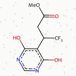 COC(=O)CC(c1c(O)ncnc1O)C(F)(F)F